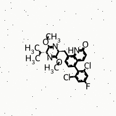 COC1=N[C@H](C(C)C)C(OC)=N[C@H]1Cc1ccc(-c2c(Cl)cc(F)cc2Cl)c2ccc(=O)[nH]c12